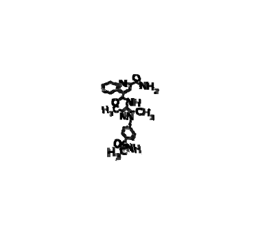 Cc1nn(Cc2ccc([S@@](C)(=N)=O)cc2)c(C)c1NC(=O)c1cc(C(N)=O)nc2ccccc12